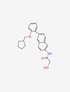 O=C(CO)Nc1ccc2cc(-c3ccccc3OCC3CCCC3)ccc2c1